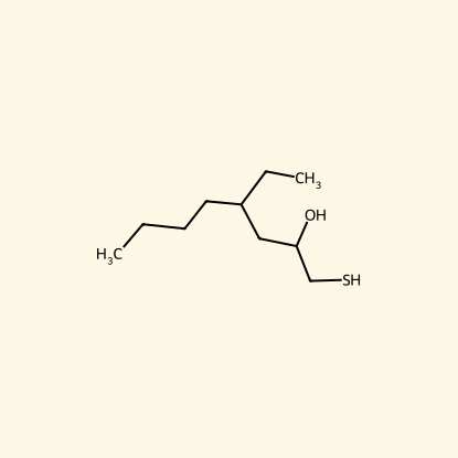 CCCCC(CC)CC(O)CS